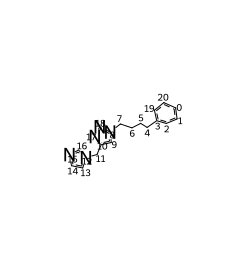 c1ccc(CCCCn2cc(Cn3ccnc3)nn2)cc1